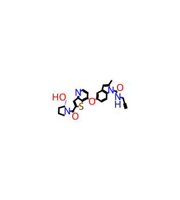 C#CCNC(=O)n1c(C)cc2cc(Oc3ccnc4cc(C(=O)N5CCC[C@@H]5CO)sc34)ccc21